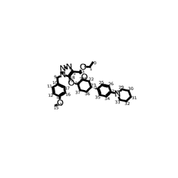 CCOC(=O)c1nnn(Cc2ccc(OC)cc2)c1O[C@H]1CC[C@H](c2ccc(N3CCCCC3)cc2)CC1